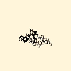 CC(C)(C)OC(=O)N1C[C@@H](OS(C)(=O)=O)[C@H](Nc2nc3c4c(ccc3s2)OCC4)C2(CC2)C1